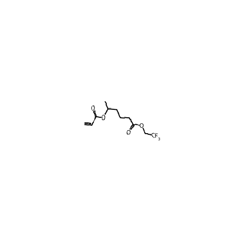 C=CC(=O)OC(C)CCCC(=O)OCC(F)(F)F